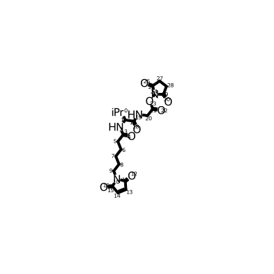 CC(C)C(NC(=O)CCCCCN1C(=O)C=CC1=O)C(=O)NCC(=O)ON1C(=O)CCC1=O